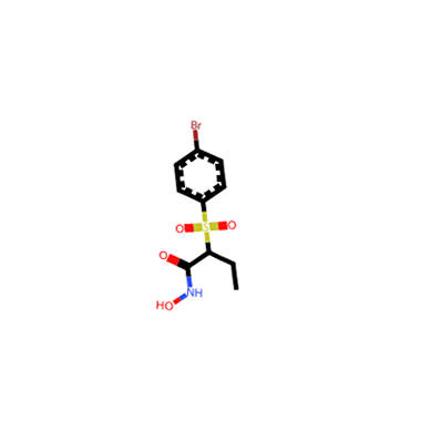 CCC(C(=O)NO)S(=O)(=O)c1ccc(Br)cc1